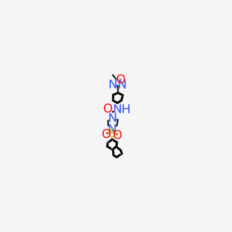 Cc1nc(-c2ccc(NC(=O)N3CCN(S(=O)(=O)c4ccc5ccccc5c4)CC3)cc2)no1